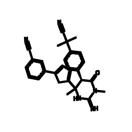 CN1C(=N)NC(C)(C2=CC=C(c3cccc(C#N)c3)C2)[C@@H](c2ccc(C(C)(C)C#N)cc2)C1=O